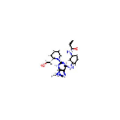 C=CC(=O)NC1CCCC(Nc2nc(N3CCCC[C@H]3CCO)nc3c2ncn3C(C)C)C1